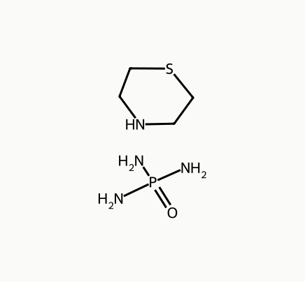 C1CSCCN1.NP(N)(N)=O